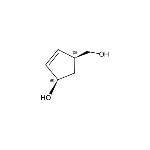 OC[C@@H]1C=C[C@H](O)C1